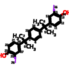 CC(C)(c1ccc(C(C)(C)c2ccc(O)c(I)c2)cc1)c1ccc(O)c(I)c1